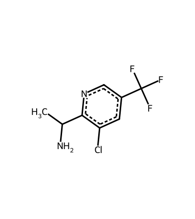 CC(N)c1ncc(C(F)(F)F)cc1Cl